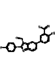 O=Cc1c(-c2ccc(F)cc2)oc2ccc(-c3ccc(Cl)c(C(=O)O)c3)cc12